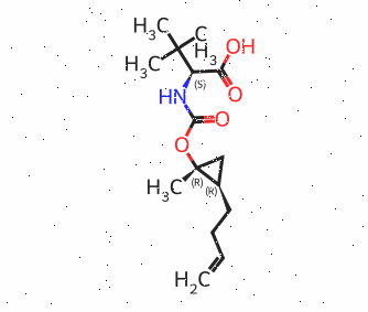 C=CCC[C@@H]1C[C@@]1(C)OC(=O)N[C@H](C(=O)O)C(C)(C)C